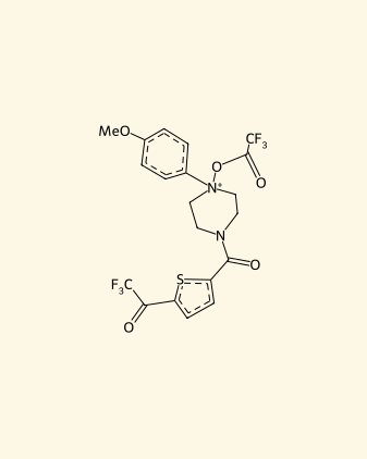 COc1ccc([N+]2(OC(=O)C(F)(F)F)CCN(C(=O)c3ccc(C(=O)C(F)(F)F)s3)CC2)cc1